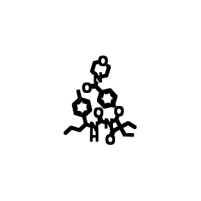 CCCC(NC(=O)N1C(=O)C(CC)(CC)C1Oc1ccc(C(=O)N2CCOCC2)cc1)c1ccc(C)cc1